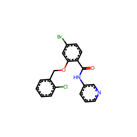 O=C(Nc1cccnc1)c1ccc(Br)cc1OCc1ccccc1Cl